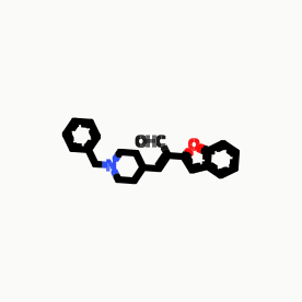 O=CC(=CC1CCN(Cc2ccccc2)CC1)c1cc2ccccc2o1